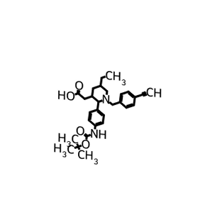 C#Cc1ccc(CN2CC(CC)CC(CC(=O)O)C2c2ccc(NC(=O)OC(C)(C)C)cc2)cc1